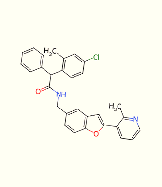 Cc1cc(Cl)ccc1C(C(=O)NCc1ccc2oc(-c3cccnc3C)cc2c1)c1ccccc1